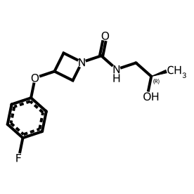 C[C@@H](O)CNC(=O)N1CC(Oc2ccc(F)cc2)C1